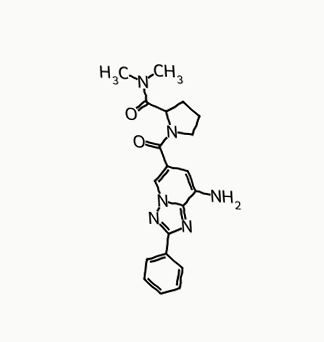 CN(C)C(=O)C1CCCN1C(=O)c1cc(N)c2nc(-c3ccccc3)nn2c1